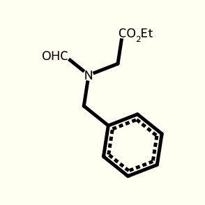 CCOC(=O)CN(C=O)Cc1ccccc1